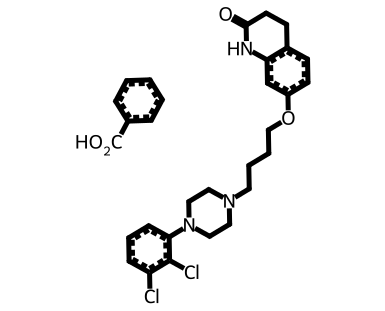 O=C(O)c1ccccc1.O=C1CCc2ccc(OCCCCN3CCN(c4cccc(Cl)c4Cl)CC3)cc2N1